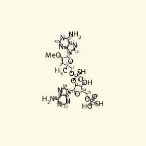 CO[C@@H]1C[C@@](C)(COP(=O)(S)O[C@@H]2[C@H](O)[C@@H](COP(=O)(O)S)O[C@H]2n2cnc3c(N)ncnc32)O[C@H]1n1cnc2c(N)ncnc21